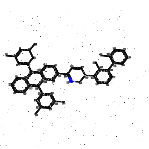 CC1=CC(C)CC(c2c3ccccc3c(-c3cc(C)cc(C)c3)c3cc(C4=NCC(c5cccc(-c6ccccc6C)c5C)C=C4)ccc23)=C1